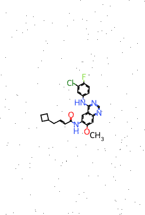 COc1cc2ncnc(Nc3ccc(F)c(Cl)c3)c2cc1NC(=O)/C=C/CC1CCC1